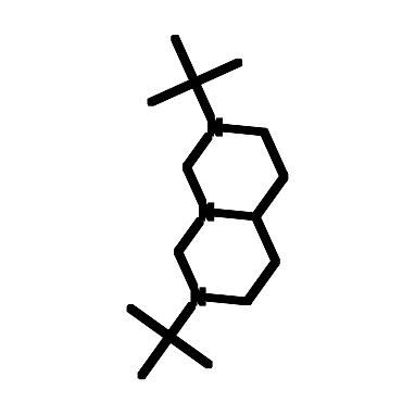 CC(C)(C)N1CCC2CCN(C(C)(C)C)CN2C1